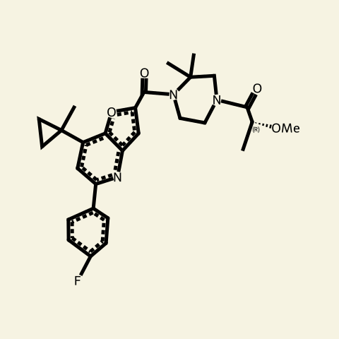 CO[C@H](C)C(=O)N1CCN(C(=O)c2cc3nc(-c4ccc(F)cc4)cc(C4(C)CC4)c3o2)C(C)(C)C1